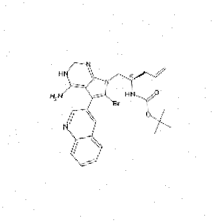 C=CC[C@H](Cn1c(Br)c(-c2cnc3ccccc3c2)c2c1=NCNC=2N)NC(=O)OC(C)(C)C